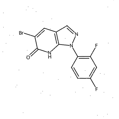 O=c1[nH]c2c(cnn2-c2ccc(F)cc2F)cc1Br